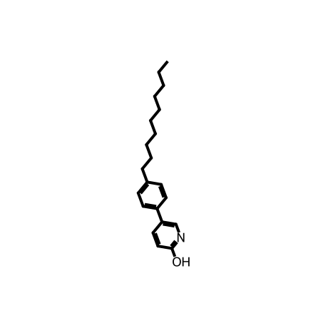 CCCCCCCCCCc1ccc(-c2ccc(O)nc2)cc1